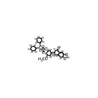 COc1cc(OP(=O)(OCc2ccccc2)OCc2ccccc2)cc(-c2cc(=O)c3cc4c(cc3[nH]2)OCO4)c1